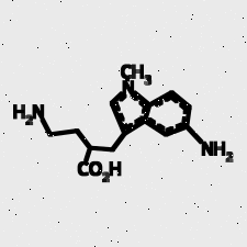 Cn1cc(CC(CCN)C(=O)O)c2cc(N)ccc21